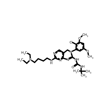 CCN(CC)CCCCNc1ncc2c(n1)N=C(NC(=O)NC(C)(C)C)N(c1cc(OC)cc(OC)c1Cl)C2